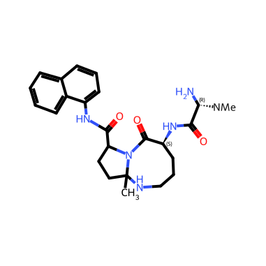 CN[C@@H](N)C(=O)N[C@H]1CCCNC2(C)CCC(C(=O)Nc3cccc4ccccc34)N2C1=O